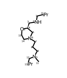 CC(C)CNC[C@H]1CN(CCCN(C)CC(C)C)CCO1